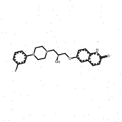 O=c1ccc2cc(OC[C@@H](O)CN3CCN(c4cccc(F)c4)CC3)ccc2[nH]1